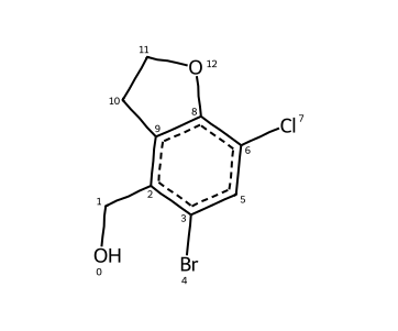 OCc1c(Br)cc(Cl)c2c1CCO2